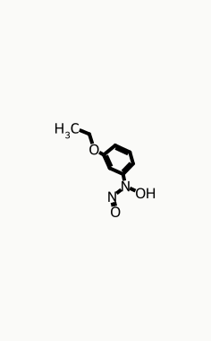 CCOc1cccc(N(O)N=O)c1